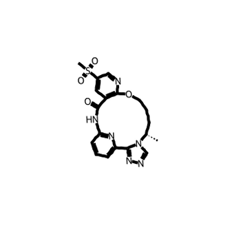 C[C@H]1CCCOc2ncc(S(C)(=O)=O)cc2C(=O)Nc2cccc(n2)-c2nncn21